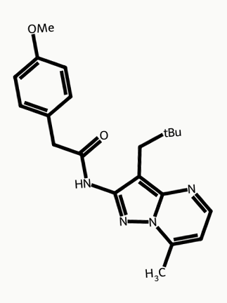 COc1ccc(CC(=O)Nc2nn3c(C)ccnc3c2CC(C)(C)C)cc1